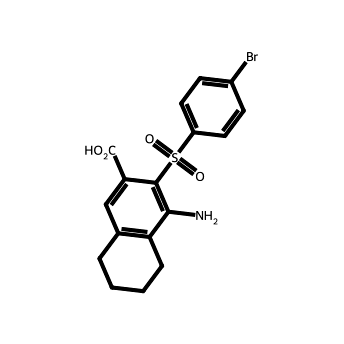 Nc1c2c(cc(C(=O)O)c1S(=O)(=O)c1ccc(Br)cc1)CCCC2